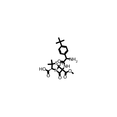 COC(=O)C1(NC(=O)C(N)c2ccc(C(C)(C)C)cc2)C(=O)N2[C@@H](C(=O)O)C(C)(C)S[C@@H]21